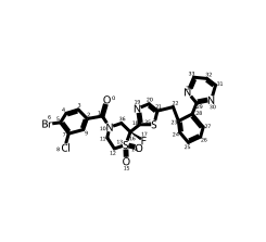 O=C(c1ccc(Br)c(Cl)c1)N1CCS(=O)(=O)[C@@](F)(c2ncc(Cc3ccccc3-c3ncccn3)s2)C1